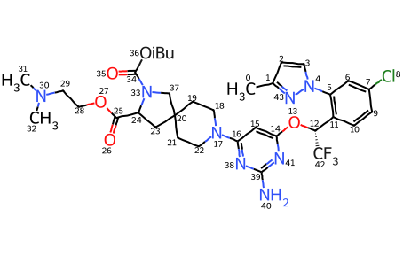 Cc1ccn(-c2cc(Cl)ccc2[C@@H](Oc2cc(N3CCC4(CC3)CC(C(=O)OCCN(C)C)N(C(=O)OCC(C)C)C4)nc(N)n2)C(F)(F)F)n1